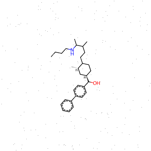 CCCCNC(C)C(C)CCC1CC[C@@H](C(O)c2ccc(-c3ccccc3)cc2)C[C@@H]1C